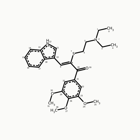 CCN(CC)CCSC(=Cc1c[nH]c2ccccc12)C(=O)c1cc(OC)c(OC)c(OC)c1